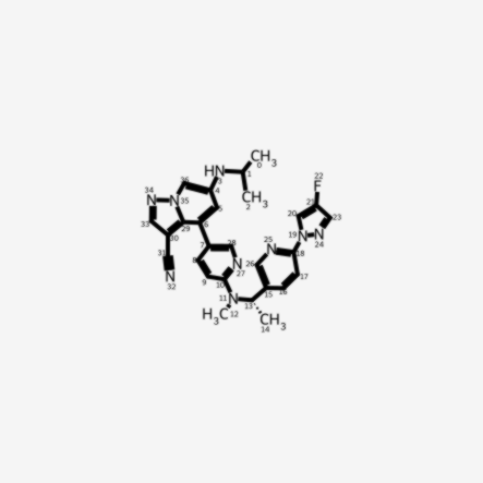 CC(C)Nc1cc(-c2ccc(N(C)[C@@H](C)c3ccc(-n4cc(F)cn4)nc3)nc2)c2c(C#N)cnn2c1